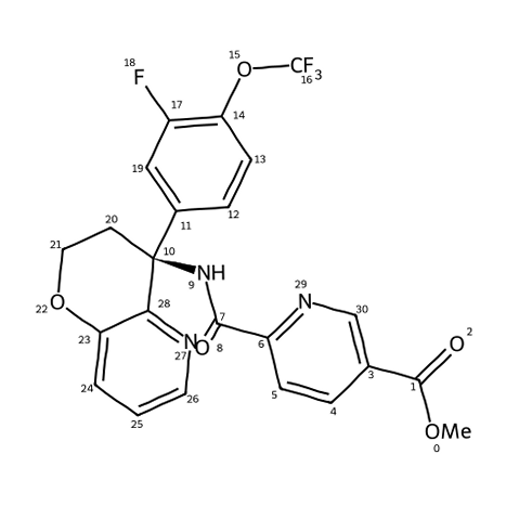 COC(=O)c1ccc(C(=O)N[C@]2(c3ccc(OC(F)(F)F)c(F)c3)CCOc3cccnc32)nc1